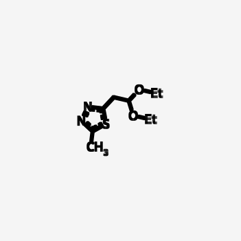 CCOC(Cc1nnc(C)s1)OCC